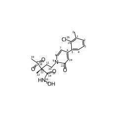 Cc1cccc(-c2ccn(CC[C@](C)(C(=O)NO)S(C)(=O)=O)c(=O)c2)c1Cl